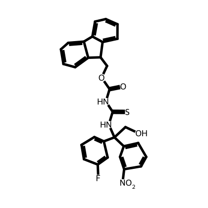 O=C(NC(=S)NC(CO)(c1cccc(F)c1)c1cccc([N+](=O)[O-])c1)OCC1c2ccccc2-c2ccccc21